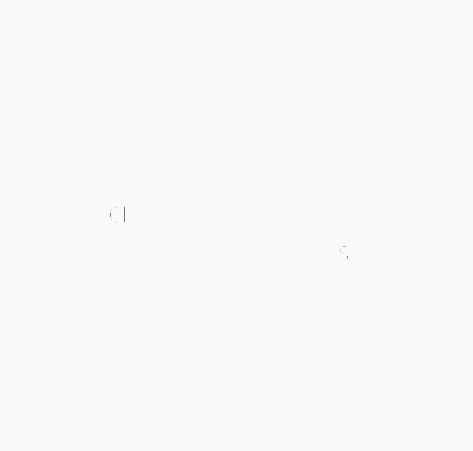 Clc1[c]c2[c][c]sc2cc1